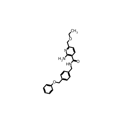 CCOCc1ccc(C(=O)NCc2ccc(COc3ccccc3)cc2)c(N)n1